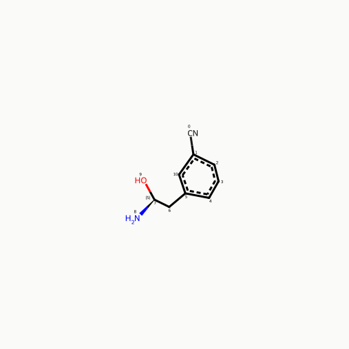 N#Cc1cccc(C[C@@H](N)O)c1